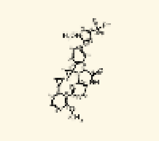 COc1ncnc(C2CC2)c1-c1ncc2c(n1)N(C1(c3ccc(-c4nc(C(F)(F)F)cn4C)cc3)CC1)CC(=O)N2